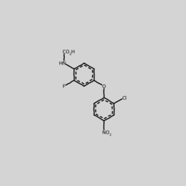 O=C(O)Nc1ccc(Oc2ccc([N+](=O)[O-])cc2Cl)cc1F